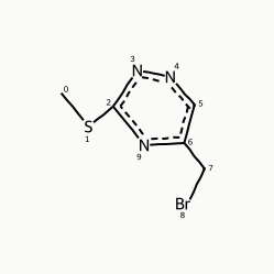 CSc1nncc(CBr)n1